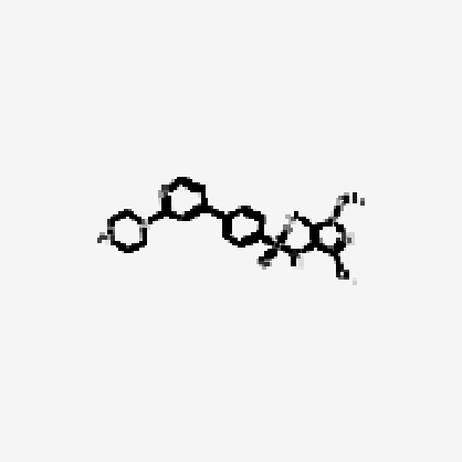 Cc1nn(C)c(C)c1NS(=O)(=O)c1ccc(-c2ccnc(N3CCNCC3)c2)cc1